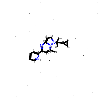 CC1=CC(c2ccccn2)=NC2=CCN(C(C)(C)C3CC3)N12